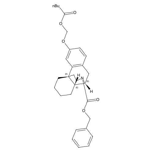 CCCCC(=O)OCOc1ccc2c(c1)[C@@]13CCCC[C@H]1[C@@H](C2)N(C(=O)OCc1ccccc1)CC3